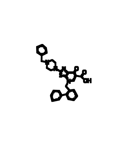 O=C(O)c1cn(Cc2ccccc2-c2ccccc2)c2sc(N3CCN(Cc4ccccc4)CC3)nc2c1=O